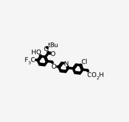 CC(C)(C)OC(=O)c1c(COc2ccc(-c3ccc(CC(=O)O)c(Cl)c3)nc2)ccc(C(F)(F)F)c1O